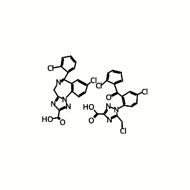 O=C(O)c1nc(CCl)n(-c2ccc(Cl)cc2C(=O)c2ccccc2Cl)n1.O=C(O)c1nc2n(n1)-c1ccc(Cl)cc1C(c1ccccc1Cl)=NC2